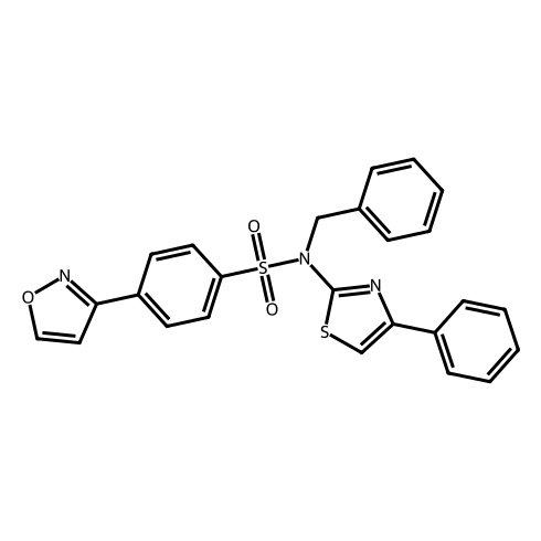 O=S(=O)(c1ccc(-c2ccon2)cc1)N(Cc1ccccc1)c1nc(-c2ccccc2)cs1